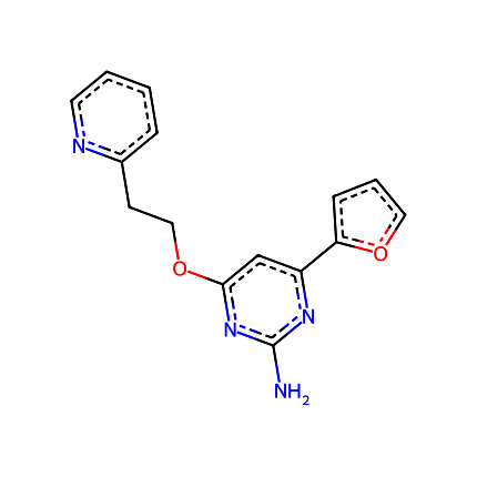 Nc1nc(OCCc2ccccn2)cc(-c2ccco2)n1